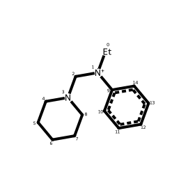 CC[N+](CN1CCCCC1)c1ccccc1